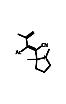 C=C(C)/C(C(C)=O)=C(\C#N)C1(C)CCCN1C